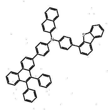 c1ccc(-c2c(-c3ccccc3)c3cc(-c4ccc(N(c5ccc(-c6cccc7c6sc6ccccc67)cc5)c5ccc6ccccc6c5)cc4)ccc3c3ccccc23)cc1